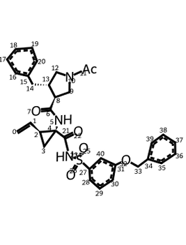 C=C[C@@H]1C[C@]1(NC(=O)[C@@H]1CN(C(C)=O)C[C@H]1Cc1ccccc1)C(=O)NS(=O)(=O)c1cccc(OCc2ccccc2)c1